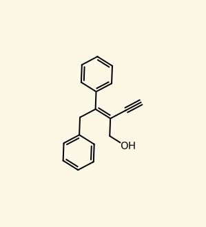 C#CC(CO)=C(Cc1ccccc1)c1ccccc1